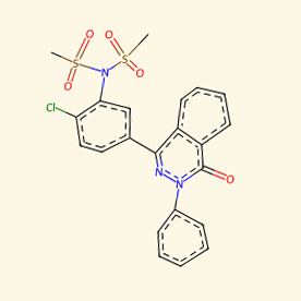 CS(=O)(=O)N(c1cc(-c2nn(-c3ccccc3)c(=O)c3ccccc23)ccc1Cl)S(C)(=O)=O